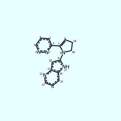 C1=C(c2cccnn2)N(c2cc3ncccc3[nH]2)CC1